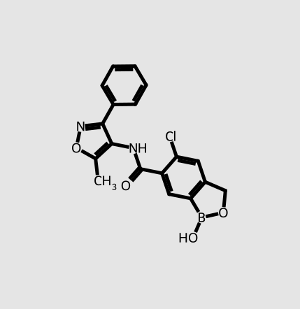 Cc1onc(-c2ccccc2)c1NC(=O)c1cc2c(cc1Cl)COB2O